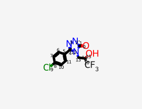 O=C1[N]N=C(c2ccc(Cl)cc2)N1CC(O)C(F)(F)F